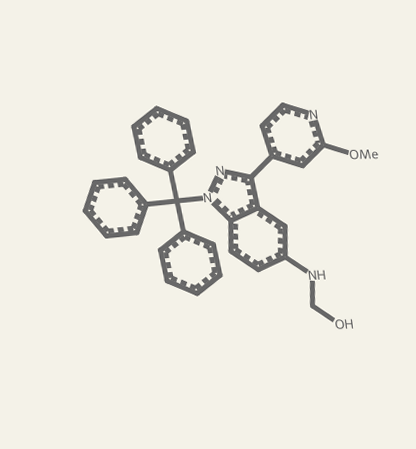 COc1cc(-c2nn(C(c3ccccc3)(c3ccccc3)c3ccccc3)c3ccc(NCO)cc23)ccn1